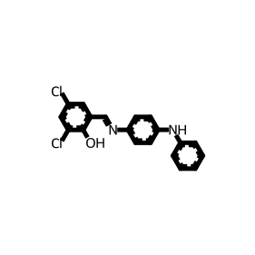 Oc1c(Cl)cc(Cl)cc1C=Nc1ccc(Nc2ccccc2)cc1